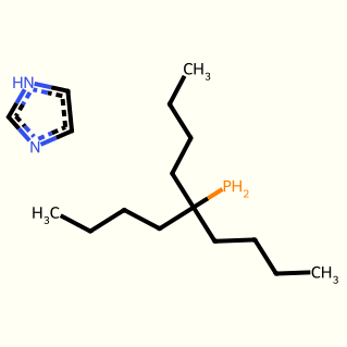 CCCCC(P)(CCCC)CCCC.c1c[nH]cn1